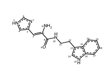 NC(=Cc1c[nH]cn1)C(=O)NCCc1c[nH]c2ccccc12